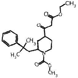 CCOC(=O)CC(=O)C1CCN(C(=O)OC)C(CC(C)(C)c2ccccc2)C1